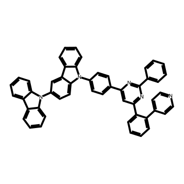 c1ccc(-c2nc(-c3ccc(-n4c5ccccc5c5cc(-n6c7ccccc7c7ccccc76)ccc54)cc3)cc(-c3ccccc3-c3ccncc3)n2)cc1